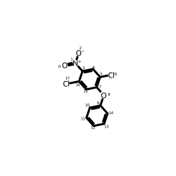 O=[N+]([O-])c1cc(Cl)c(Oc2ccccc2)cc1Cl